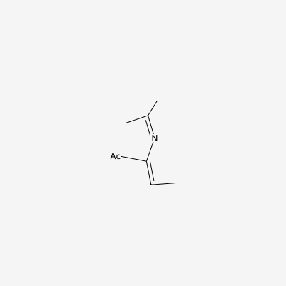 C/C=C(\N=C(C)C)C(C)=O